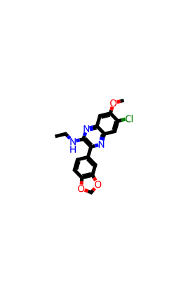 CCNc1nc2cc(OC)c(Cl)cc2nc1-c1ccc2c(c1)OCO2